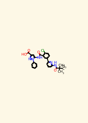 CC(C)(C)C(=O)Nc1cccc(-c2ccc(Cl)c(C(=O)Nc3cc(C(=O)O)nn3-c3ccccc3)c2)n1